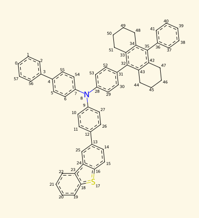 c1ccc(-c2ccc(N(c3ccc(-c4ccc5sc6ccccc6c5c4)cc3)c3ccc(-c4c5c(c(-c6ccccc6)c6c4CCCC6)CCCC5)cc3)cc2)cc1